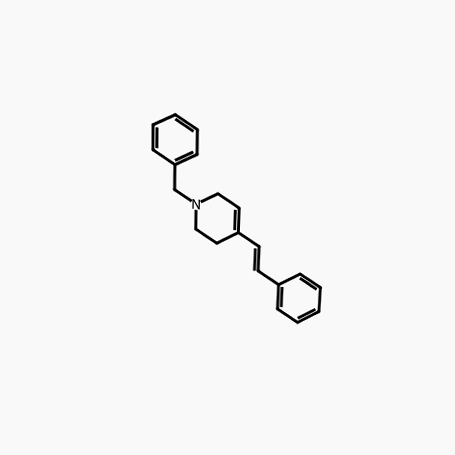 C(=Cc1ccccc1)C1=CCN(Cc2ccccc2)CC1